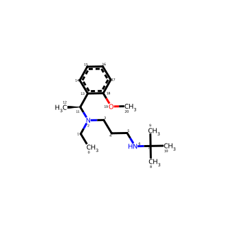 CCN(CCCNC(C)(C)C)[C@@H](C)c1ccccc1OC